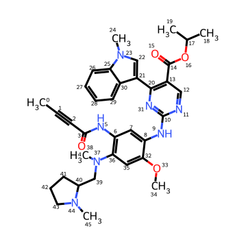 CC#CC(=O)Nc1cc(Nc2ncc(C(=O)OC(C)C)c(-c3cn(C)c4ccccc34)n2)c(OC)cc1N(C)CC1CCCN1C